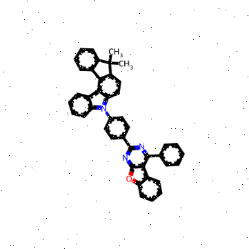 CC1(C)c2ccccc2-c2c1ccc1c2c2ccccc2n1-c1ccc(-c2nc(-c3ccccc3)c3c(n2)oc2ccccc23)cc1